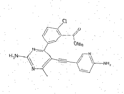 COC(=O)c1cc(-c2nc(N)nc(C)c2C#Cc2ccc(N)nc2)ccc1Cl